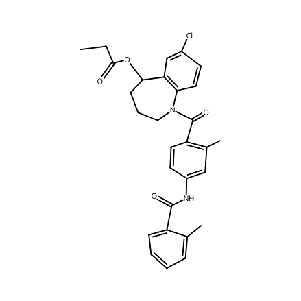 CCC(=O)OC1CCCN(C(=O)c2ccc(NC(=O)c3ccccc3C)cc2C)c2ccc(Cl)cc21